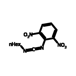 CCCCCCN=C=Nc1c([N+](=O)[O-])cccc1[N+](=O)[O-]